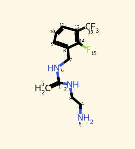 C=C(NCCN)NCc1cccc(C(F)(F)F)c1F